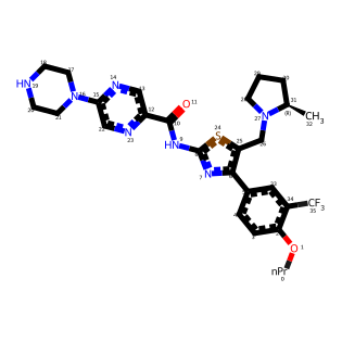 CCCOc1ccc(-c2nc(NC(=O)c3cnc(N4CCNCC4)cn3)sc2CN2CCC[C@H]2C)cc1C(F)(F)F